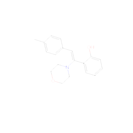 Cc1ccc(C=C(c2ccccc2O)N2CCOCC2)cc1